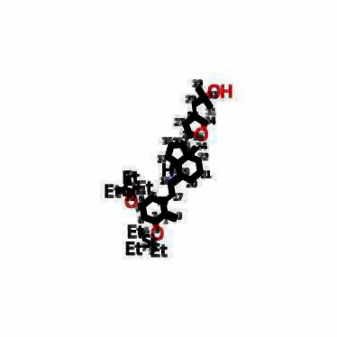 C=C1C(O[Si](CC)(CC)CC)C[C@H](O[Si](CC)(CC)CC)C[C@H]1C/C=C1\CCCC2(C)[C@@H](C3C[C@@H](CC(C)(C)O)CO3)CC[C@@H]12